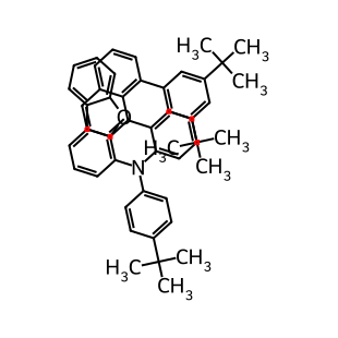 CC(C)(C)c1ccc(N(c2ccccc2-c2cccc3cccc(-c4cc(C(C)(C)C)cc(C(C)(C)C)c4)c23)c2cccc3c2oc2ccccc23)cc1